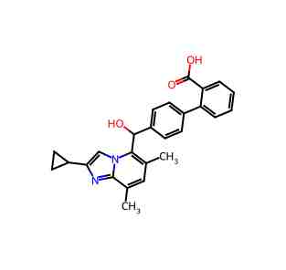 Cc1cc(C)c2nc(C3CC3)cn2c1C(O)c1ccc(-c2ccccc2C(=O)O)cc1